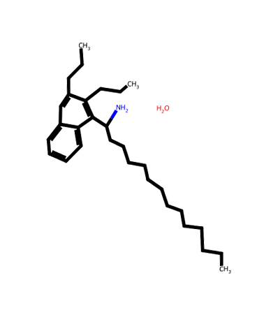 CCCCCCCCCCCCCC(N)c1c(CCC)c(CCC)cc2ccccc12.O